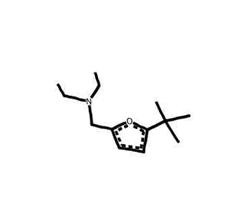 CCN(CC)Cc1ccc(C(C)(C)C)o1